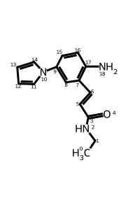 CCNC(=O)C=Cc1cc(-n2cccc2)ccc1N